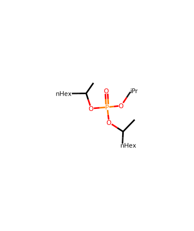 CCCCCCC(C)OP(=O)(OC(C)C)OC(C)CCCCCC